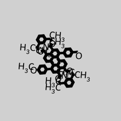 COc1ccc(-c2cc3c4c(ccc5c6c(-c7ccc(C=O)cc7)cc7c8c(ccc(c2c45)c86)C(=O)N(c2c(C(C)C)cccc2C(C)C)C7=O)C(=O)N(c2c(C(C)C)cccc2C(C)C)C3=O)cc1